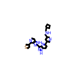 c1cc2[nH]c(-c3n[nH]c4ccc(-c5cncc(CNCC6CCCC6)c5)nc34)nc2c(-c2ccsc2)n1